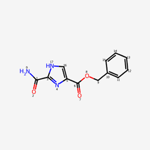 NC(=O)c1nc(C(=O)OCc2ccccc2)c[nH]1